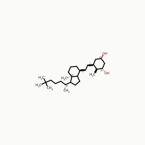 C=C1/C(=C\C=C2/CCC[C@@]3(C)C2CCC3[C@H](C)CCCC(C)(C)C)C[C@@H](O)C[C@@H]1O